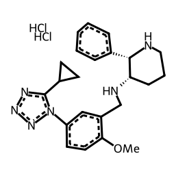 COc1ccc(-n2nnnc2C2CC2)cc1CN[C@H]1CCCN[C@H]1c1ccccc1.Cl.Cl